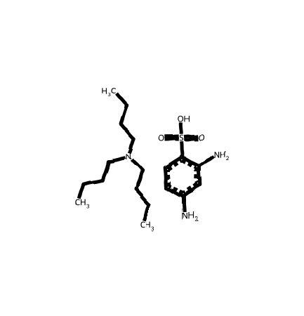 CCCCN(CCCC)CCCC.Nc1ccc(S(=O)(=O)O)c(N)c1